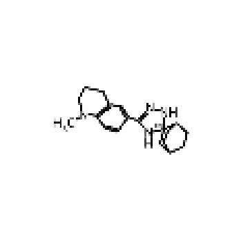 CN1CCCc2cc(C3=NN[C@@]4(CC5CCC4CC5)N3)ccc21